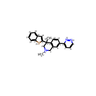 CN1Cc2cc(-c3cccnn3)ccc2C(C)(c2cc3ccccc3s2)C1